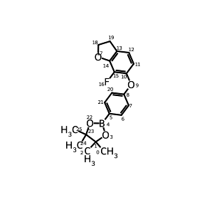 CC1(C)OB(c2ccc(Oc3ccc4c(c3F)OCC4)cc2)OC1(C)C